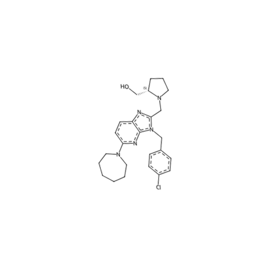 OC[C@@H]1CCCN1Cc1nc2ccc(N3CCCCCC3)nc2n1Cc1ccc(Cl)cc1